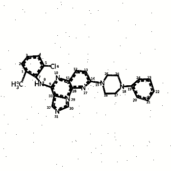 Cc1cccc(Cl)c1Nc1nc2ccc(N3CCN(c4ccccc4)CC3)nc2n2cncc12